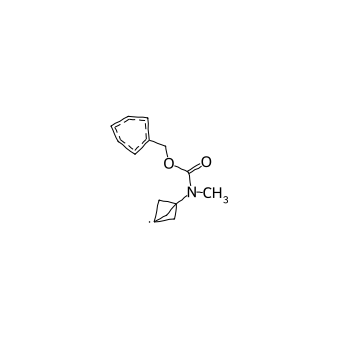 CN(C(=O)OCc1ccccc1)C12C[C](C1)C2